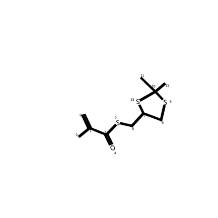 C=C(C)C(=O)SCC1CSC(C)(C)S1